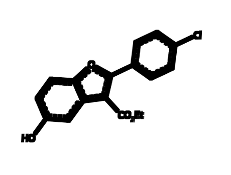 CCOC(=O)c1c(-c2ccc(Cl)cc2)oc2ccc(O)cc12